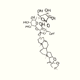 CC1OC(OC2[C@H](O[C@H]3CC[C@@]4(C)C(=CCC5C6CC7OC8(CC[C@@H](C)CO8)[C@@H](C)C7[C@@]6(C)CCC54)C3)OC(CO)[C@@H](O[C@@H]3O[C@@H](CO)[C@H](O)[C@H]3O)[C@@H]2O)C(O)C(O)C1O